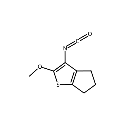 COc1sc2c(c1N=C=O)CCC2